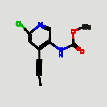 CC#Cc1cc(Cl)ncc1NC(=O)OC(C)(C)C